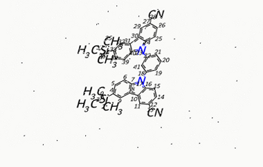 C[Si](C)(C)c1ccc2c(c1)c1cc(C#N)ccc1n2-c1cccc(-n2c3ccc(C#N)cc3c3cc([Si](C)(C)C)ccc32)c1